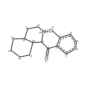 O=C(c1cc[c]cc1Cl)C1NCCC2CCCCC21